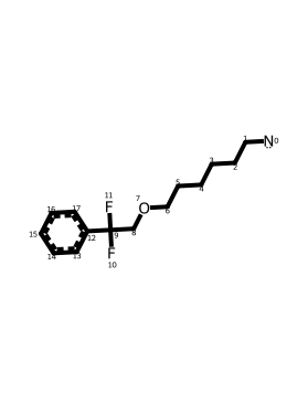 [N]CCCCCCOCC(F)(F)c1ccccc1